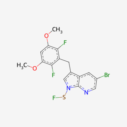 COc1cc(OC)c(F)c(Cc2cn(SF)c3ncc(Br)cc23)c1F